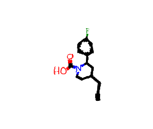 C#CCC1CCN(C(=O)O)C(c2ccc(F)cc2)C1